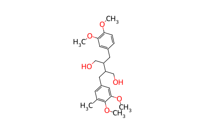 COc1ccc(CC(CO)C(CO)Cc2cc(C)c(OC)c(OC)c2)cc1OC